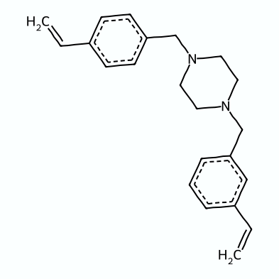 C=Cc1ccc(CN2CCN(Cc3cccc(C=C)c3)CC2)cc1